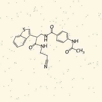 CC(=O)Nc1ccc(C(=O)NCC(C(=O)NCCC#N)c2csc3ccccc23)cc1